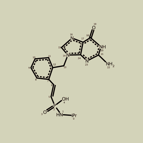 CC(C)NP(=O)(O)/C=C/c1ccccc1Cn1cnc2c(=O)[nH]c(N)nc21